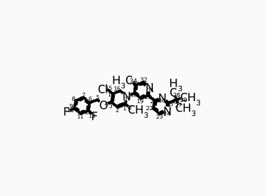 CC1=CC(OCc2ccc(F)cc2F)=C(Cl)CN1c1cc(-c2ccnc(C(C)(C)C)n2)ncc1C